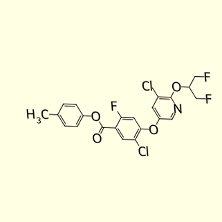 Cc1ccc(OC(=O)c2cc(Cl)c(Oc3cnc(OC(CF)CF)c(Cl)c3)cc2F)cc1